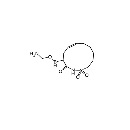 NCOBC1C/C=C\CCCCCS(=O)(=O)NC1=O